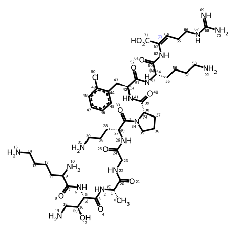 C[C@H](NC(=O)[C@@H](NC(=O)C(N)CCCCN)[C@@H](O)CN)C(=O)NCC(=O)N[C@H](CCCN)C(=O)N1CCC[C@H]1C(=O)N[C@@H](Cc1ccccc1Cl)C(=O)N[C@@H](CCCCN)C(=O)N/C(=C\CCNC(=N)N)C(=O)O